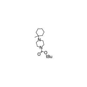 CC(C)(C)OC(=O)N1CCN(C2(C)CCCCC2)CC1